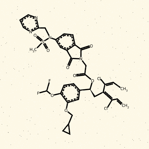 C=C/C(Cl)=C(C[C@H](OC(=O)CN1C(=O)c2ccc(N(Cc3ncccn3)S(C)(=O)=O)cc2C1=O)c1ccc(OC(F)F)c(OCC2CC2)c1)\C(Cl)=C/C